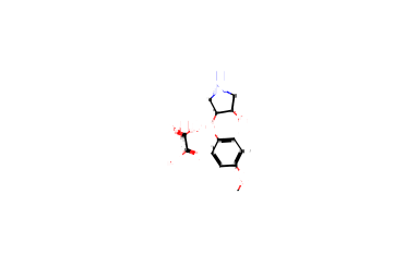 COc1ccc(OC2CNCC2O)cc1.O=C(O)C(=O)O